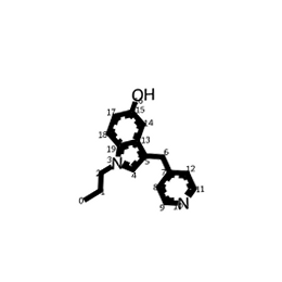 CCCn1cc(Cc2ccncc2)c2cc(O)ccc21